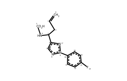 C=CCC(NC(=O)O)c1cnn(-c2ccc(F)cc2)n1